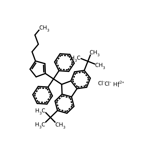 CCCCC1=CCC(C(c2ccccc2)(c2ccccc2)C2c3cc(C(C)(C)C)ccc3-c3ccc(C(C)(C)C)cc32)=C1.[Cl-].[Cl-].[Hf+2]